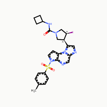 Cc1ccc(S(=O)(=O)n2ccc3c2ncc2ncc([C@H]4CN(C(=O)NC5CCC5)C[C@H]4I)n23)cc1